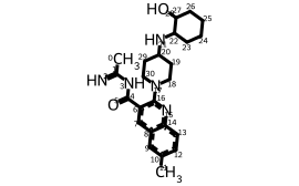 CC(=N)NC(=O)c1cc2cc(C)ccc2nc1N1CCC(NC2CCCCC2O)CC1